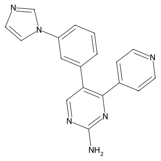 Nc1ncc(-c2cccc(-n3ccnc3)c2)c(-c2ccncc2)n1